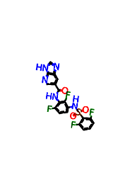 O=C(Nc1c(F)ccc(NS(=O)(=O)c2c(F)cccc2F)c1F)c1cnc2[nH]cnc2c1